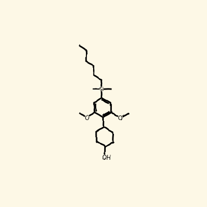 CCCCCC[Si](C)(C)c1cc(OC)c(C2CCC(O)CC2)c(OC)c1